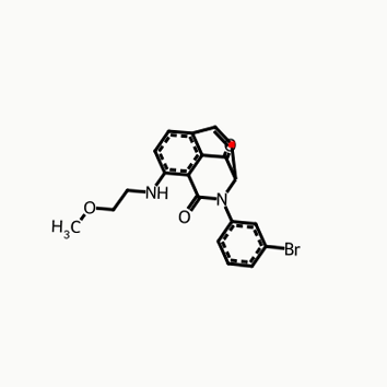 COCCNc1ccc2c3c1C(=O)N(c1cccc(Br)c1)C(C=C2)C3=O